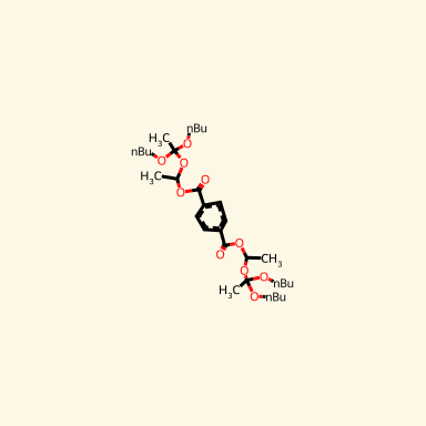 CCCCOC(C)(OCCCC)OC(C)OC(=O)c1ccc(C(=O)OC(C)OC(C)(OCCCC)OCCCC)cc1